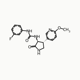 COc1ccc([C@@H]2CNC(=O)[C@H]2NC(=O)Nc2cccc(F)c2)cn1